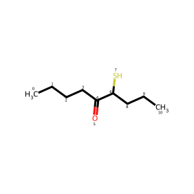 CCCCC(=O)C(S)CCC